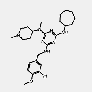 COc1ccc(CNc2nc(NC3CCCCCC3)nc(N(C)C3CCN(C)CC3)n2)cc1Cl